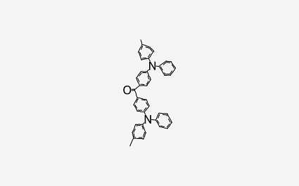 Cc1ccc(N(c2ccccc2)c2ccc(C(=O)c3ccc(N(c4ccccc4)c4ccc(C)cc4)cc3)cc2)cc1